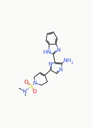 CN(C)S(=O)(=O)N1CC=C(c2cnc(N)c(-c3nc4ccccc4[nH]3)n2)CC1